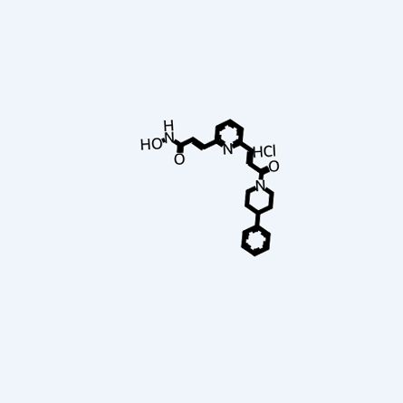 Cl.O=C(/C=C/c1cccc(/C=C/C(=O)N2CCC(c3ccccc3)CC2)n1)NO